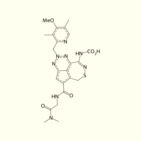 COc1c(C)cnc(Cn2nc3cc(C(=O)NCC(=O)N(C)C)c4c-3c(n2)C(NC(=O)O)=NSC4)c1C